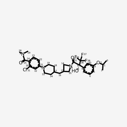 CC(C)Oc1cccc([C@@](O)(C(=O)N2CC(CC3CCN(c4ccc(C(=O)N(C)C)c(Cl)c4)CC3)C2)C(F)(F)F)c1